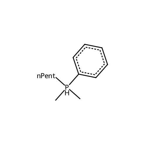 CCCCC[PH](C)(C)c1ccccc1